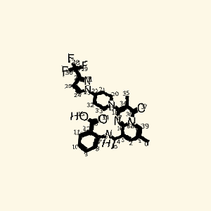 Cc1cc([C@@H](C)Nc2ccccc2C(=O)O)c2nc(N3CCC(n4ccc(C(F)(F)F)n4)CC3)c(C)c(=O)n2c1